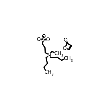 CCCC[N+](CC)(CCCC)CCCS(=O)(=O)[O-].O=C1C=CO1